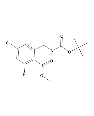 COC(=O)c1c(F)cc(Cl)cc1CNC(=O)OC(C)(C)C